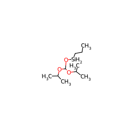 CCC[SiH2]OC(OC(C)C)OC(C)C